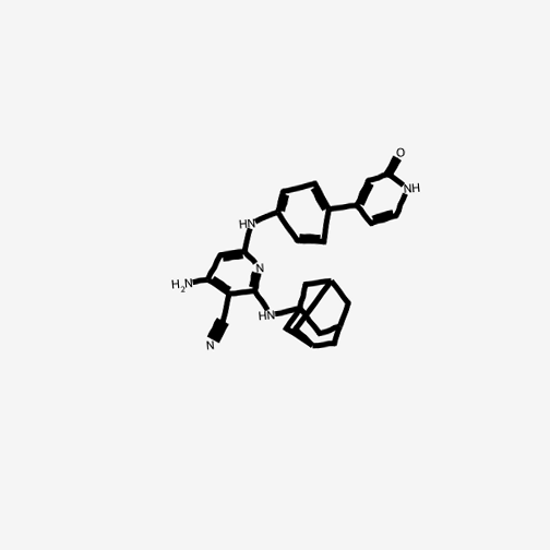 N#Cc1c(N)cc(Nc2ccc(-c3cc[nH]c(=O)c3)cc2)nc1NC12CC3CC(CC(C3)C1)C2